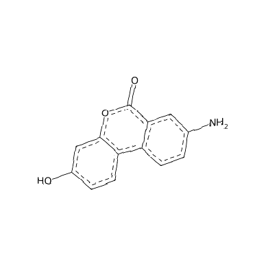 Nc1ccc2c(c1)c(=O)oc1cc(O)ccc12